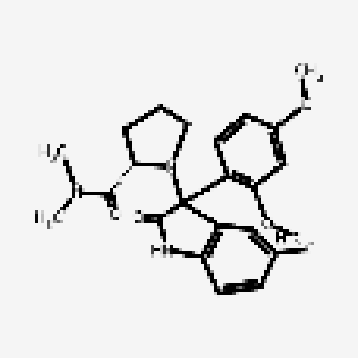 COc1ccc(C2(N3CCC[C@H]3C(=O)N(C)C)C(=O)Nc3ccc(Cl)cc32)c(OC)c1